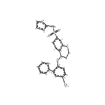 O=S(=O)(Nc1nccs1)c1ccc2c(c1)OCCC2Oc1ccc(C(F)(F)F)cc1-c1ccccn1